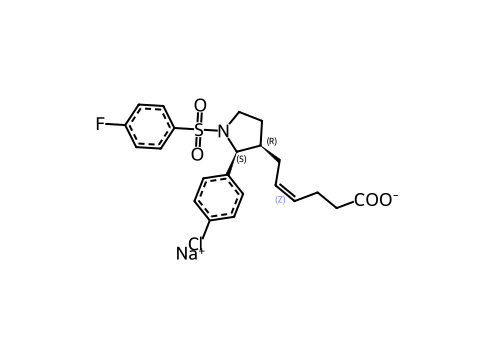 O=C([O-])CC/C=C\C[C@@H]1CCN(S(=O)(=O)c2ccc(F)cc2)[C@@H]1c1ccc(Cl)cc1.[Na+]